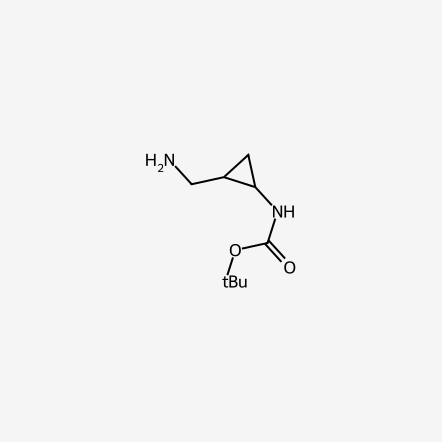 CC(C)(C)OC(=O)NC1CC1CN